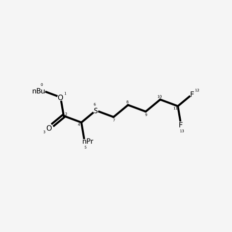 CCCCOC(=O)C(CCC)SCCCCC(F)F